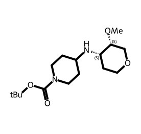 CO[C@@H]1COCC[C@@H]1NC1CCN(C(=O)OC(C)(C)C)CC1